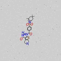 CN1CCc2c(sc(NC(=O)c3ccc(S(=O)(=O)N4CC5(C)CC4CC(C)(C)C5)cc3)c2C(N)=O)C1